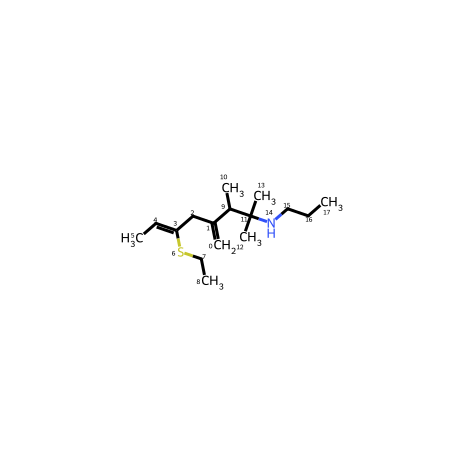 C=C(C/C(=C/C)SCC)C(C)C(C)(C)NCCC